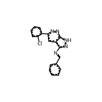 Clc1ccccc1-c1cc2c(N=Cc3ccccc3)n[nH]c2nn1